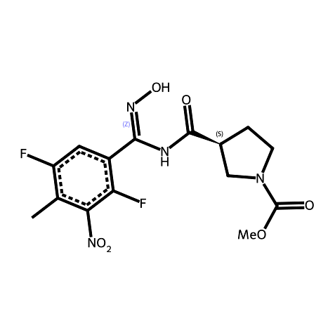 COC(=O)N1CC[C@H](C(=O)N/C(=N\O)c2cc(F)c(C)c([N+](=O)[O-])c2F)C1